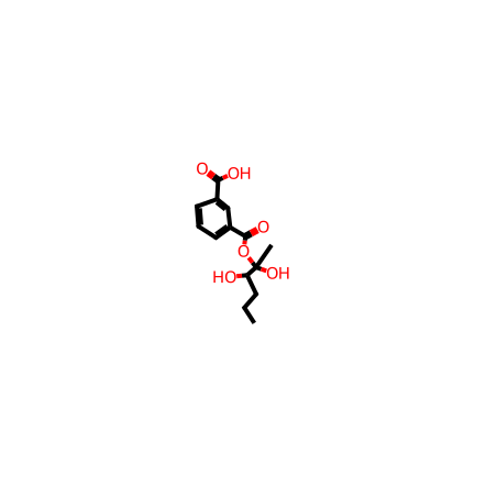 CCCC(O)C(C)(O)OC(=O)c1cccc(C(=O)O)c1